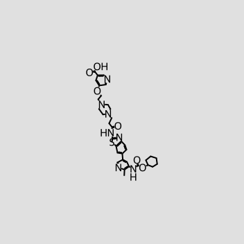 Cc1ncc(-c2ccc3nc(NC(=O)CCN4CCN(CCOc5cncc(C(=O)O)c5)CC4)sc3c2)cc1NC(=O)OC1CCCCC1